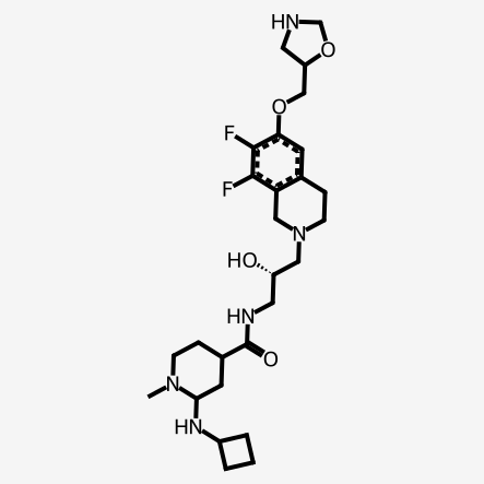 CN1CCC(C(=O)NC[C@H](O)CN2CCc3cc(OCC4CNCO4)c(F)c(F)c3C2)CC1NC1CCC1